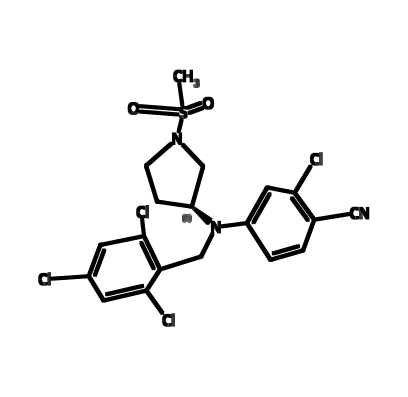 CS(=O)(=O)N1CC[C@H](N(Cc2c(Cl)cc(Cl)cc2Cl)c2ccc(C#N)c(Cl)c2)C1